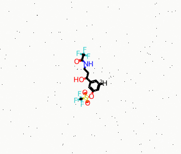 [2H]c1cc(OS(=O)(=O)C(F)(F)F)cc(C(O)CCNC(=O)C(F)(F)F)c1